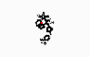 Cn1c(=O)n([C@H]2CCCOC2)c2c3c(-c4ccccc4)c(-c4ccc(CN5CCC(S(C)(=O)=O)CC5)cc4)[nH]c3ncc21